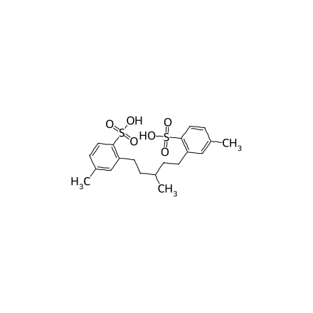 Cc1ccc(S(=O)(=O)O)c(CCC(C)CCc2cc(C)ccc2S(=O)(=O)O)c1